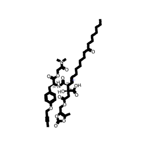 CC#CCOc1ccc(C[C@H](NC(=O)[C@@H](/C=C/CCCCCCC(=O)CCCCCCC)[C@@](O)(CC(=O)OCc2oc(=O)oc2C)C(=O)O)C(=O)OCC(=O)N(C)C)cc1